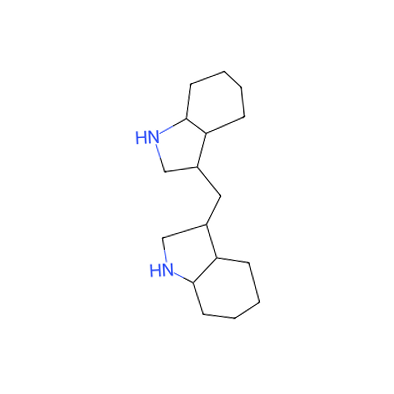 C1CCC2C(CC3CNC4CCCCC34)CNC2C1